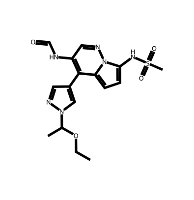 CCOC(C)n1cc(-c2c(NC=O)cnn3c(NS(C)(=O)=O)ccc23)cn1